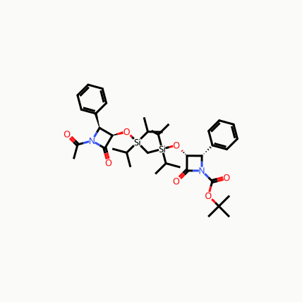 CC(=O)N1C(=O)[C@H](O[Si](C[Si](O[C@H]2C(=O)N(C(=O)OC(C)(C)C)[C@H]2c2ccccc2)(C(C)C)C(C)C)(C(C)C)C(C)C)[C@@H]1c1ccccc1